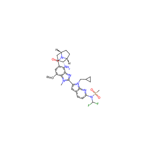 COc1cc(C(=O)N2[C@@H]3CC[C@@H](N)[C@H]2CC3)cc2nc(-c3cc4ccc(N(C(F)F)S(C)(=O)=O)nc4n3CC3CC3)n(C)c12